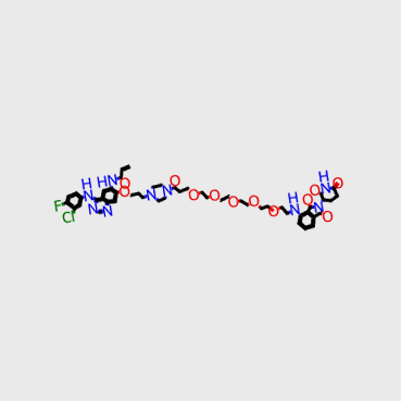 C=CC(=O)Nc1cc2c(Nc3ccc(F)c(Cl)c3)ncnc2cc1OCCCN1CCN(C(=O)CCOCCOCCOCCOCCOCCNc2cccc3c2C(=O)N(C2CCC(=O)NC2=O)C3=O)CC1